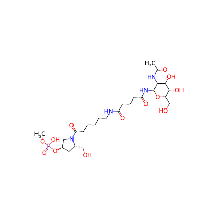 COP(=O)(O)O[C@@H]1C[C@@H](CO)N(C(=O)CCCCCNC(=O)CCCC(=O)NC2OC(CO)C(O)C(O)C2NC(C)=O)C1